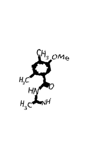 COc1cc(C(=O)NC(C)=N)c(C)cc1C